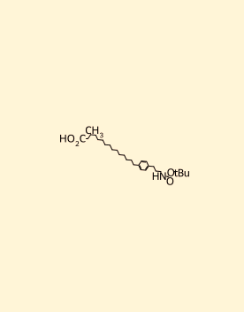 CC(CCCCCCCCCCCCc1ccc(CCCNC(=O)OC(C)(C)C)cc1)CC(=O)O